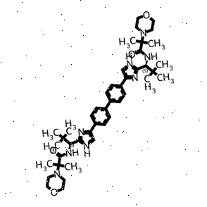 CC(C)(C)[C@H](NC(=O)C(C)(C)N1CCOCC1)c1nc(-c2ccc(-c3ccc(-c4c[nH]c([C@@H](NC(=O)C(C)(C)N5CCOCC5)C(C)(C)C)n4)cc3)cc2)c[nH]1